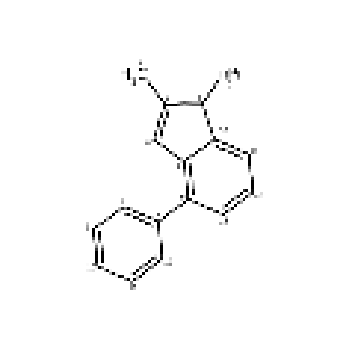 [CH2]CCC1C(C)=Cc2c(-c3ccccc3)cccc21